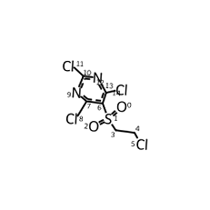 O=S(=O)(CCCl)c1c(Cl)nc(Cl)nc1Cl